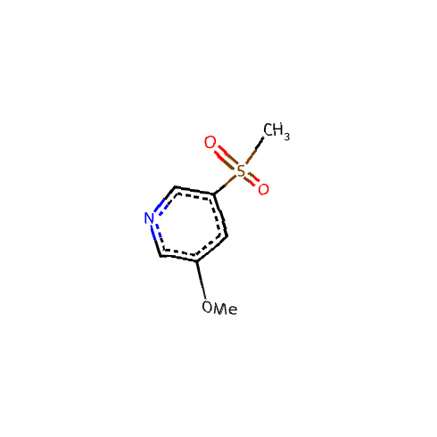 COc1cncc(S(C)(=O)=O)c1